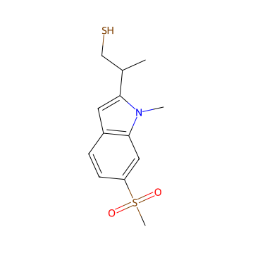 CC(CS)c1cc2ccc(S(C)(=O)=O)cc2n1C